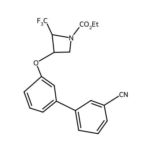 CCOC(=O)N1CC(Oc2cccc(-c3cccc(C#N)c3)c2)C1C(F)(F)F